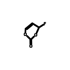 O=C1OC=CC(F)O1